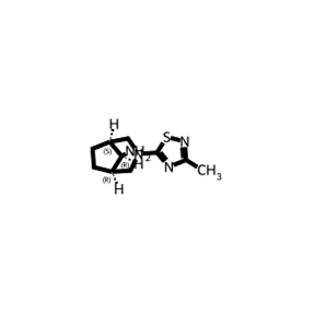 Cc1nsc(N2C[C@H]3CC[C@@H](C2)[C@H]3N)n1